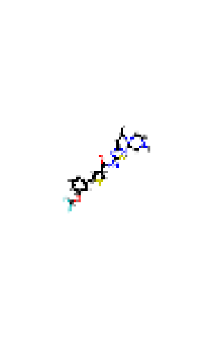 CC(Cc1nsc(NC(=O)c2csc(-c3cccc(OC(F)F)c3)c2)n1)N1CCN(C)CC1